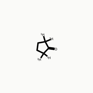 [2H]C1([2H])CCC([2H])([2H])C1=O